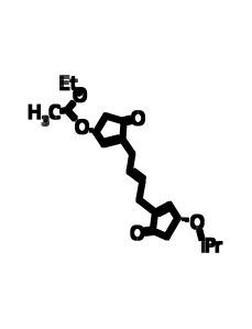 CCOC(C)O[C@H]1C=C(C/C=C/CC2=C[C@H](OC(C)C)CC2=O)C(=O)C1